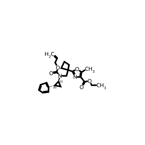 C=CCOC(=O)N(CC1(c2nc(C(=O)OCC)c(C)o2)CCC1)[C@H]1C[C@@H]1c1ccccc1